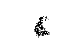 Cc1nnc(-c2cc3nc(CN4CCc5cc(C(F)(F)F)c(OCc6c(F)cc(Cl)cc6F)nc5C4)n(C[C@@H]4CCO4)c3cn2)[nH]1